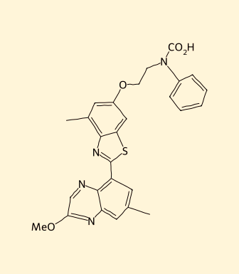 COc1cnc2c(-c3nc4c(C)cc(OCCN(C(=O)O)c5ccccc5)cc4s3)cc(C)cc2n1